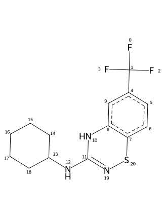 FC(F)(F)c1ccc2c(c1)NC(NC1CCCCC1)=NS2